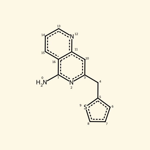 Nc1nc(Cc2cccs2)cc2ncccc12